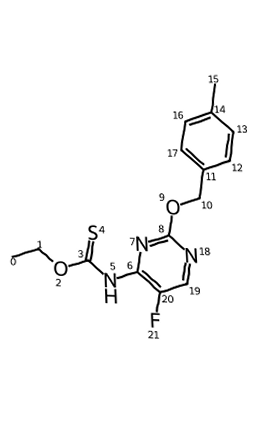 CCOC(=S)Nc1nc(OCc2ccc(C)cc2)ncc1F